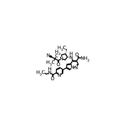 CCNC(=O)c1ccc(-c2cc3c(N[C@@H]4CN(C(=O)C(C)(C)C#N)C[C@@H]4CC)c(C(N)=O)cnn3c2)cn1